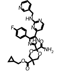 CC1(C(=O)OCC2CC2)COC(C(N)=O)(c2nc(-c3ccc(F)cc3)c(-c3ccnc(NCc4cccnc4)n3)[nH]2)OC1